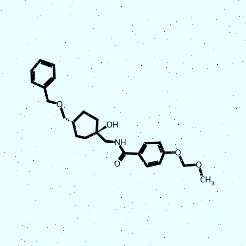 COCOc1ccc(C(=O)NC[C@]2(O)CC[C@H](COCc3ccccc3)CC2)cc1